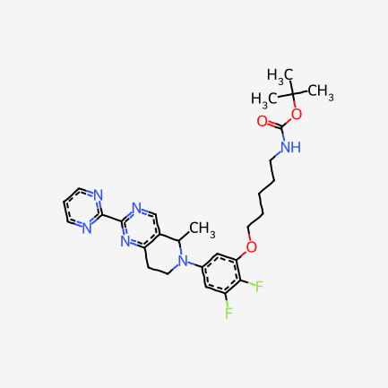 CC1c2cnc(-c3ncccn3)nc2CCN1c1cc(F)c(F)c(OCCCCCNC(=O)OC(C)(C)C)c1